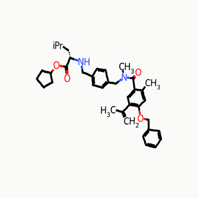 C=C(C)c1cc(C(=O)N(C)Cc2ccc(CN[C@@H](CC(C)C)C(=O)OC3CCCC3)cc2)c(C)cc1OCc1ccccc1